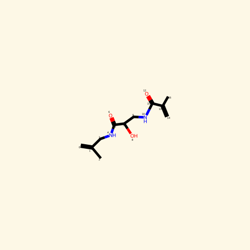 C=C(C)CNC(=O)C(O)CNC(=O)C(=C)C